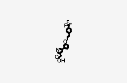 O=C(O)Cc1cncc(-c2cccc(OCC=Cc3ccc(C(F)(F)F)cc3)c2)c1